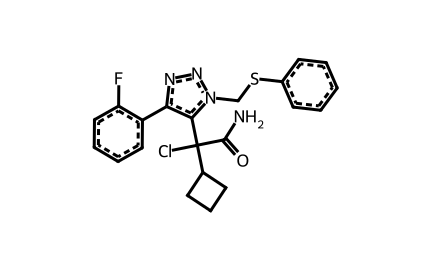 NC(=O)C(Cl)(c1c(-c2ccccc2F)nnn1CSc1ccccc1)C1CCC1